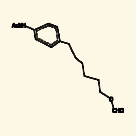 CC(=O)Nc1ccc(CCCCCCOC=O)cc1